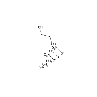 N.O.O=[N+]([O-])[O-].O=[N+]([O-])[O-].O=[N+]([O-])[O-].OCCO.[Pr+3]